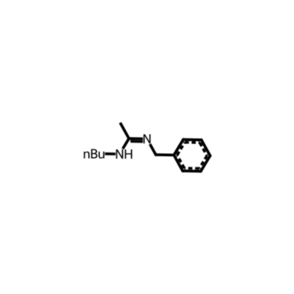 CCCCNC(C)=NCc1ccccc1